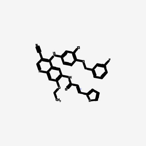 CCOc1cc2ncc(C#N)c(Nc3ccc(OCc4cccc(F)c4)c(Cl)c3)c2cc1NC(=O)/C=C/c1ccco1